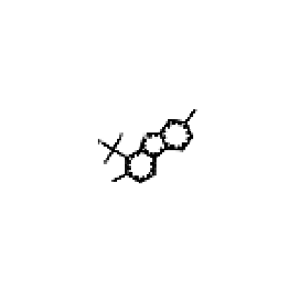 Cc1ccc2c(c1)oc1c(C(F)(F)F)c(C)ccc12